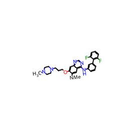 CNc1cc2c(Nc3cccc(-c4c(F)cccc4F)c3)ncnc2cc1OCCCN1CCN(C)CC1